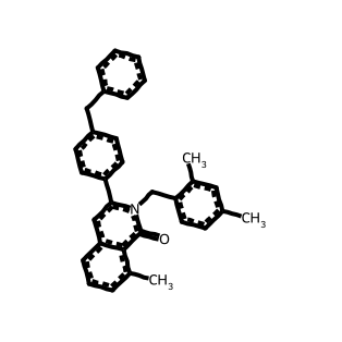 Cc1ccc(Cn2c(-c3ccc(Cc4ccccc4)cc3)cc3cccc(C)c3c2=O)c(C)c1